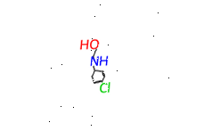 OCCNCC1C=CC(Cl)=CC1